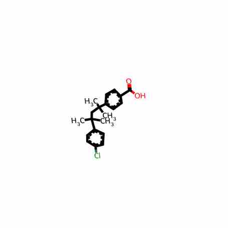 CC(C)(CC(C)(C)c1ccc(C(=O)O)cc1)c1ccc(Cl)cc1